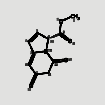 COC(=O)[C@H]1C=CC2=CC(=O)CC(=O)N21